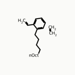 C=C.C=Cc1ccccc1CCCCCCCCCCCC